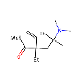 C=CC(CC)(CC(C)(CC)N(C)C)C(=O)NC